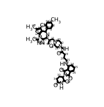 Cc1ccc(C2=N[C@@H](C(C=O)CN3CCN(NC(=O)CCCNc4cccc5c4C(=O)N(C4CCC(=O)NC4=O)C5=O)CC3)c3nnc(C)n3-c3sc(C)c(C)c32)cc1